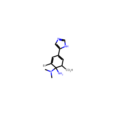 CCC1=CC(c2cnc[nH]2)=CC(C(=O)O)C1(N)N(C)C